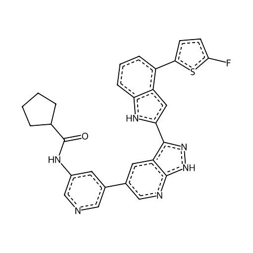 O=C(Nc1cncc(-c2cnc3[nH]nc(-c4cc5c(-c6ccc(F)s6)cccc5[nH]4)c3c2)c1)C1CCCC1